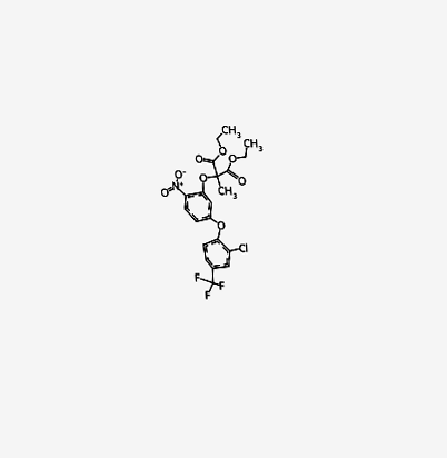 CCOC(=O)C(C)(Oc1cc(Oc2ccc(C(F)(F)F)cc2Cl)ccc1[N+](=O)[O-])C(=O)OCC